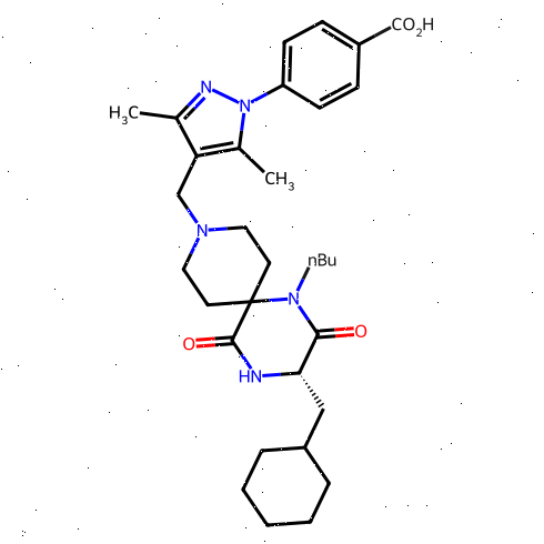 CCCCN1C(=O)[C@H](CC2CCCCC2)NC(=O)C12CCN(Cc1c(C)nn(-c3ccc(C(=O)O)cc3)c1C)CC2